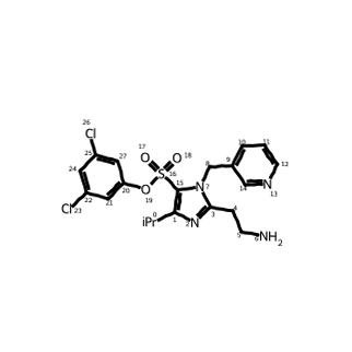 CC(C)c1nc(CCN)n(Cc2cccnc2)c1S(=O)(=O)Oc1cc(Cl)cc(Cl)c1